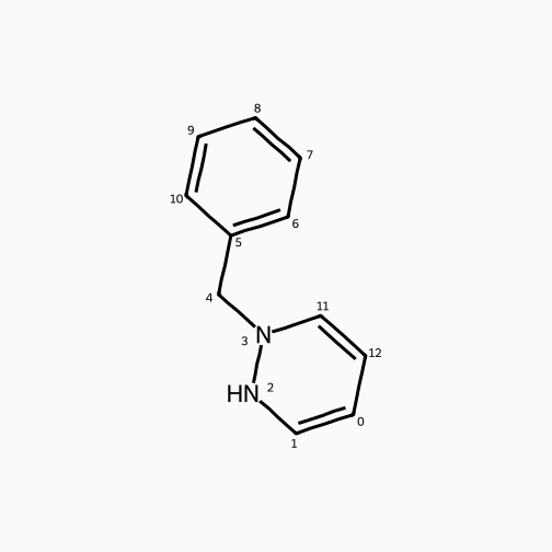 C1=CNN(Cc2ccccc2)C=C1